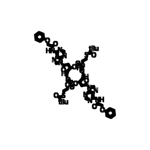 CC(C)(C)C(=O)SCCOP1(=O)OC[C@H]2O[C@@H](n3cnc4c(NC(=O)COc5ccccc5)ncnc43)CC2OP(=O)(OCCSC(=O)C(C)(C)C)OC[C@H]2O[C@@H](n3cnc4c(NC(=O)COc5ccccc5)ncnc43)CC2O1